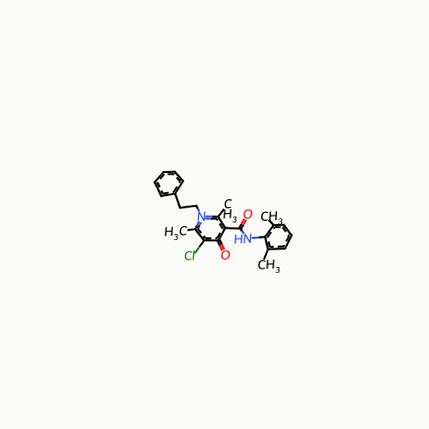 Cc1cccc(C)c1NC(=O)c1c(C)n(CCc2ccccc2)c(C)c(Cl)c1=O